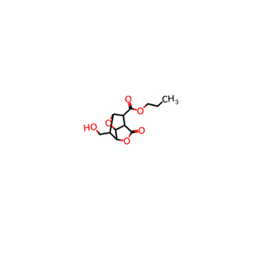 CCCOC(=O)C1C2OC3C(OC(=O)C31)C2CO